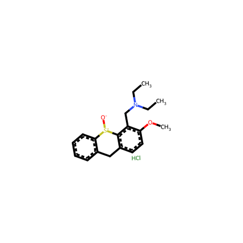 CCN(CC)Cc1c(OC)ccc2c1[S+]([O-])c1ccccc1C2.Cl